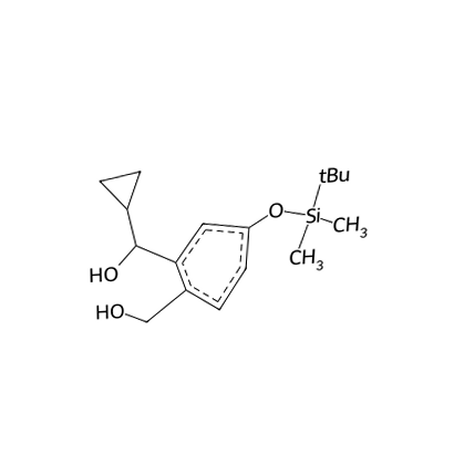 CC(C)(C)[Si](C)(C)Oc1ccc(CO)c(C(O)C2CC2)c1